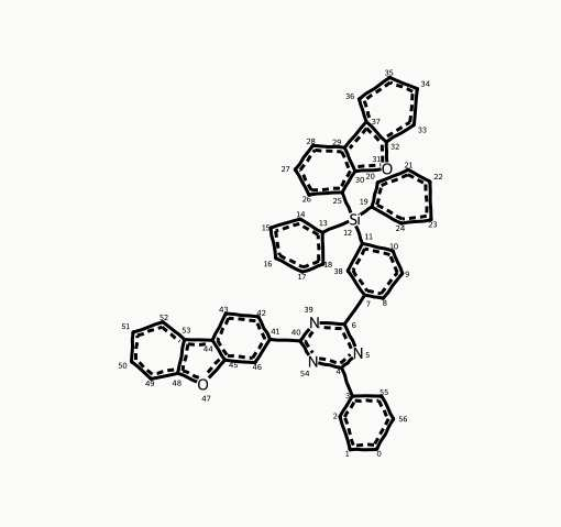 c1ccc(-c2nc(-c3cccc([Si](c4ccccc4)(c4ccccc4)c4cccc5c4oc4ccccc45)c3)nc(-c3ccc4c(c3)oc3ccccc34)n2)cc1